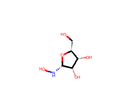 OC[C@H]1O[C@@H](NO)[C@@H](O)[C@H]1O